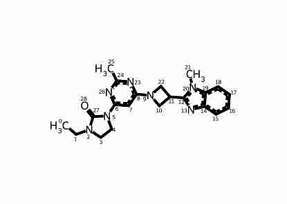 CCN1CCN(c2cc(N3CC(c4nc5ccccc5n4C)C3)nc(C)n2)C1=O